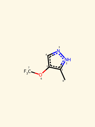 Cc1[nH]ncc1OC(F)(F)F